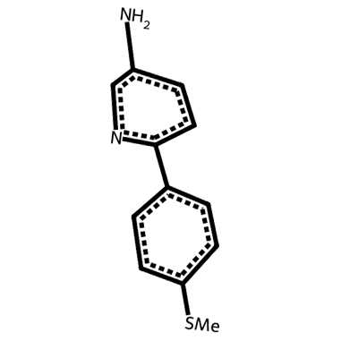 CSc1ccc(-c2ccc(N)cn2)cc1